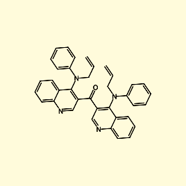 C=CCN(c1ccccc1)c1c(C(=O)c2cnc3ccccc3c2N(CC=C)c2ccccc2)cnc2ccccc12